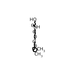 CC1C=C2CC(OCCOCCOCCOCCNC(=O)CCCO)(C2)CC(C)C1